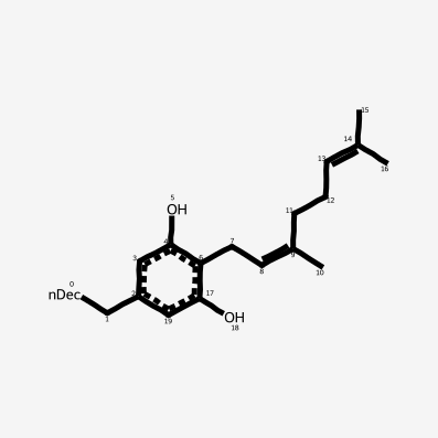 CCCCCCCCCCCc1cc(O)c(CC=C(C)CCC=C(C)C)c(O)c1